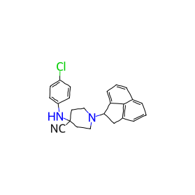 N#CC1(Nc2ccc(Cl)cc2)CCN(C2Cc3cccc4cccc2c34)CC1